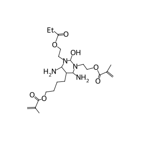 C=C(C)C(=O)OCCCCC1C(N)N(CCOC(=O)CC)C(O)N(CCOC(=O)C(=C)C)C1N